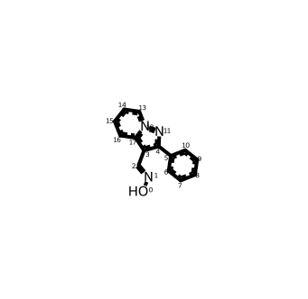 ON=Cc1c(-c2ccccc2)nn2ccccc12